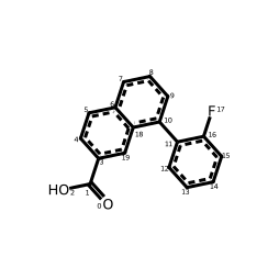 O=C(O)c1ccc2cccc(-c3ccccc3F)c2c1